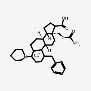 C[C@]12C(Cc3ccccc3)CCC(N3CCCCC3)C1CC[C@H]1[C@@H]3CCC(C(=O)O)[C@@]3(COC(N)=O)CC[C@@H]12